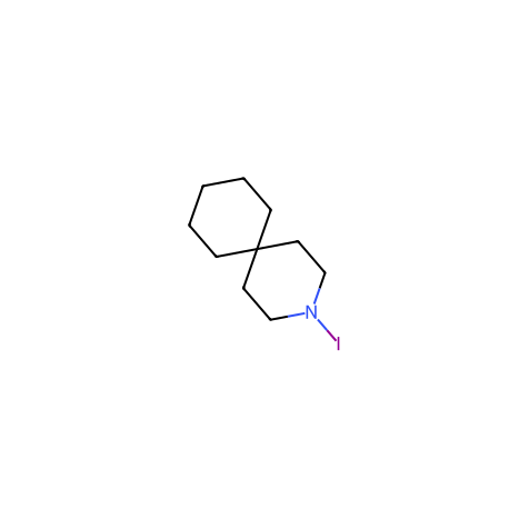 IN1CCC2(CCCCC2)CC1